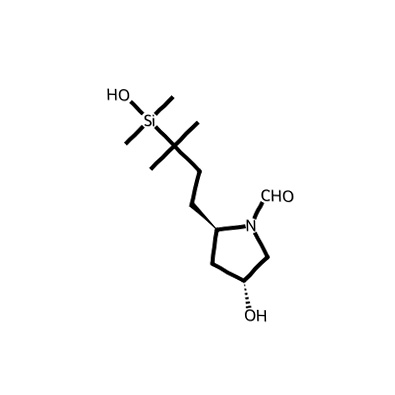 CC(C)(CC[C@@H]1C[C@@H](O)CN1C=O)[Si](C)(C)O